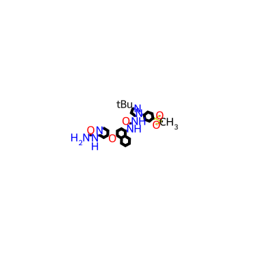 CC(C)(C)c1cc(NC(=O)Nc2ccc(Oc3ccnc(NC(N)=O)c3)c3ccccc23)n(-c2ccc(S(C)(=O)=O)cc2)n1